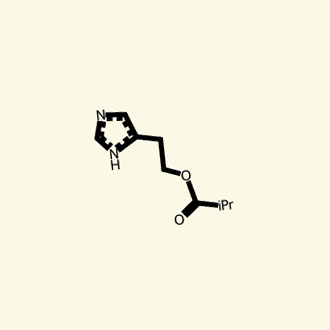 CC(C)C(=O)OCCc1cnc[nH]1